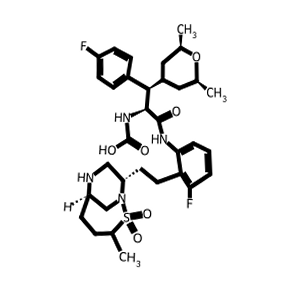 CC1CC[C@@H]2CN([C@@H](CCc3c(F)cccc3NC(=O)[C@@H](NC(=O)O)[C@@H](c3ccc(F)cc3)C3C[C@@H](C)O[C@@H](C)C3)CN2)S1(=O)=O